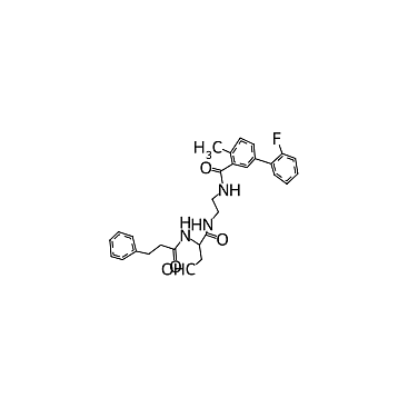 Cc1ccc(-c2ccccc2F)cc1C(=O)NCCNC(=O)C(CC=O)NC(=O)CCc1ccccc1